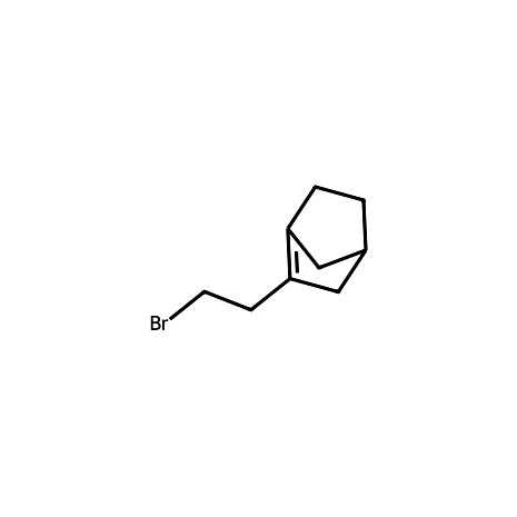 BrCCC1=C2CCC(C1)C2